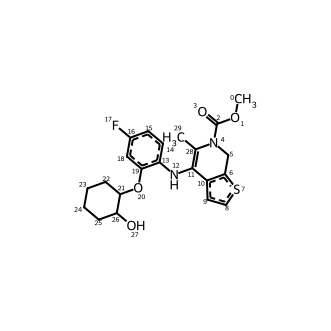 COC(=O)N1Cc2sccc2C(Nc2ccc(F)cc2OC2CCCCC2O)=C1C